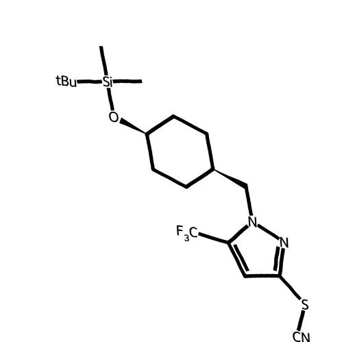 CC(C)(C)[Si](C)(C)O[C@H]1CC[C@@H](Cn2nc(SC#N)cc2C(F)(F)F)CC1